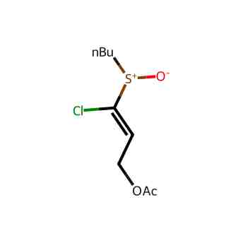 CCCC[S+]([O-])C(Cl)=CCOC(C)=O